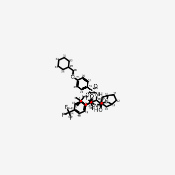 CC(C)(C)OC(=O)NC1CC2CCC(C1)N2C(=O)C(NS(=O)(=O)c1ccc(OCC2CCCCC2)cc1)C(F)(F)c1ccc(C(F)(F)F)cc1